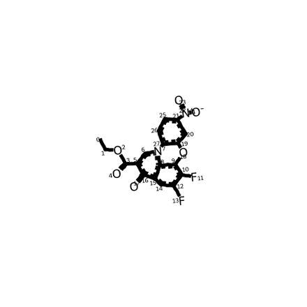 CCOC(=O)c1cn2c3c(c(F)c(F)cc3c1=O)Oc1cc([N+](=O)[O-])ccc1-2